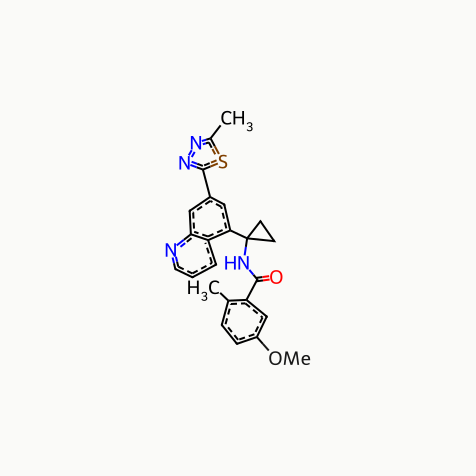 COc1ccc(C)c(C(=O)NC2(c3cc(-c4nnc(C)s4)cc4ncccc34)CC2)c1